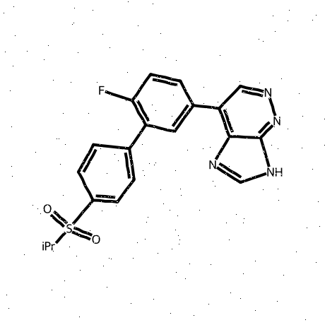 CC(C)S(=O)(=O)c1ccc(-c2cc(-c3cnnc4[nH]cnc34)ccc2F)cc1